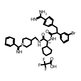 N=C(N)c1ccc(CC(C(=O)N[C@H](C(=O)NCC2CCN(C(=N)c3ccccc3)CC2)C2CCCCC2)c2cccc(Br)c2)cc1.O=C(O)C(F)(F)F